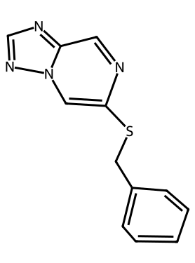 c1ccc(CSc2cn3ncnc3cn2)cc1